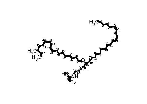 CCCCC/C=C\C/C=C\CCCCCCCCOCC(CSSCNC(=N)N)OCCCCCCCC/C=C\C/C=C\CCC(C)CC